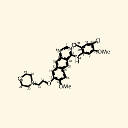 COc1cc(Nc2ncnc3cc4cc(OCCN5CCOCC5)c(OC)cc4cc23)c(Cl)cc1Cl